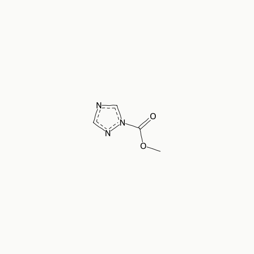 COC(=O)n1cncn1